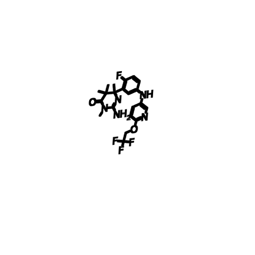 CN1C(=O)C(C)(C)C(C)(c2cc(Nc3ccc(OCC(F)(F)F)nc3)ccc2F)N=C1N